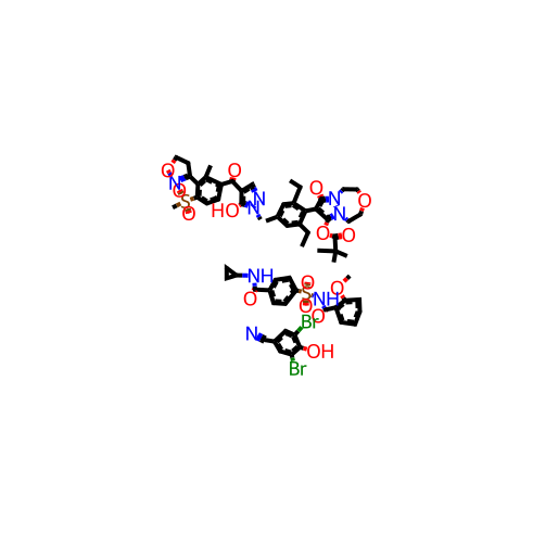 CCc1cc(C)cc(CC)c1-c1c(OC(=O)C(C)(C)C)n2n(c1=O)CCOCC2.COc1ccccc1C(=O)NS(=O)(=O)c1ccc(C(=O)NC2CC2)cc1.Cc1c(C(=O)c2cnn(C)c2O)ccc(S(C)(=O)=O)c1C1=NOCC1.N#Cc1cc(Br)c(O)c(Br)c1